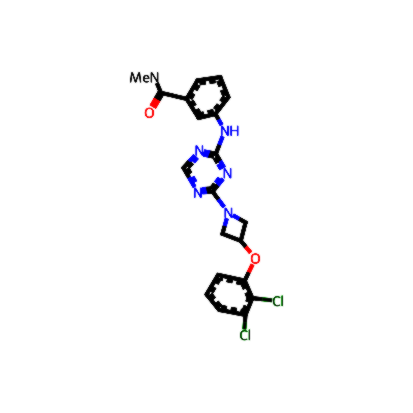 CNC(=O)c1cccc(Nc2ncnc(N3CC(Oc4cccc(Cl)c4Cl)C3)n2)c1